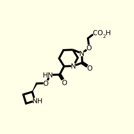 O=C(O)CON1C(=O)N2CC1CCC2C(=O)NOC[C@@H]1CCN1